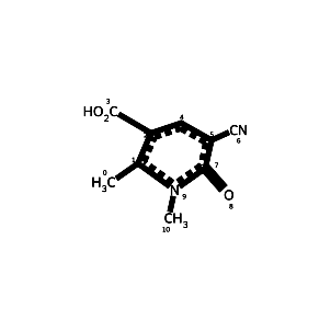 Cc1c(C(=O)O)cc(C#N)c(=O)n1C